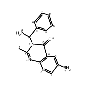 Bc1cnc2nc(C)n(C(P)c3ccccc3)c(=O)c2c1